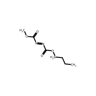 CCC[SiH2]OC(=O)N=NC(=O)OC